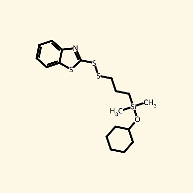 C[Si](C)(CCCSSc1nc2ccccc2s1)OC1CCCCC1